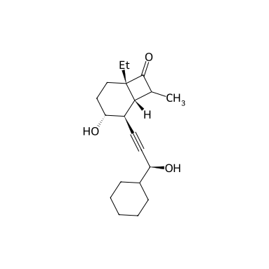 CC[C@]12CC[C@@H](O)[C@H](C#C[C@@H](O)C3CCCCC3)[C@H]1C(C)C2=O